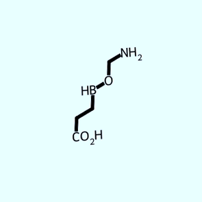 NCOBCCC(=O)O